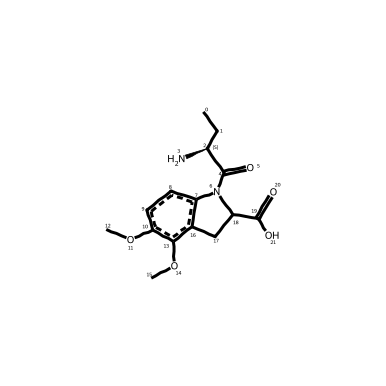 CC[C@H](N)C(=O)N1c2ccc(OC)c(OC)c2CC1C(=O)O